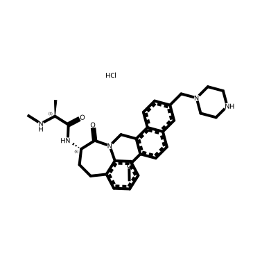 CN[C@@H](C)C(=O)N[C@H]1CCc2ccccc2N(Cc2c(OC)ccc3cc(CN4CCNCC4)ccc23)C1=O.Cl